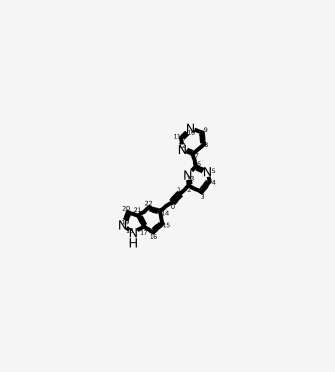 C(#Cc1ccnc(-c2ccncn2)n1)c1ccc2[nH]ncc2c1